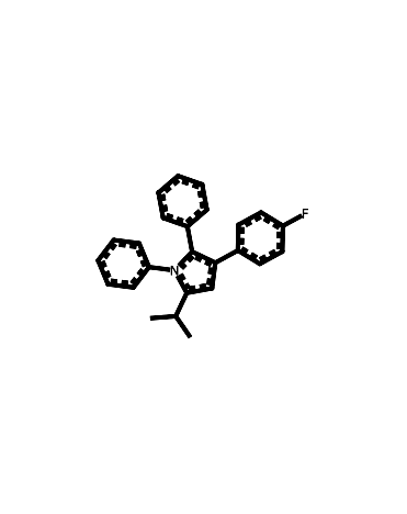 CC(C)c1cc(-c2ccc(F)cc2)c(-c2ccccc2)n1-c1ccccc1